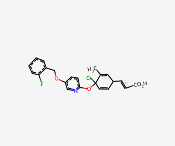 CC1=CC(/C=C/C(=O)O)C=CC1(Cl)Oc1ccc(OCc2ccccc2F)cn1